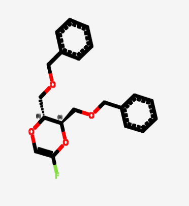 FC1=CO[C@H](COCc2ccccc2)[C@@H](COCc2ccccc2)O1